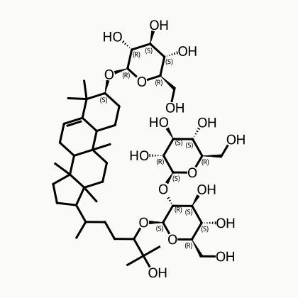 CC(CCC(O[C@@H]1O[C@H](CO)[C@@H](O)[C@H](O)[C@H]1O[C@@H]1O[C@H](CO)[C@@H](O)[C@H](O)[C@H]1O)C(C)(C)O)C1CCC2(C)C3CC=C4C(CC[C@H](O[C@@H]5O[C@H](CO)[C@@H](O)[C@H](O)[C@H]5O)C4(C)C)C3(C)CCC12C